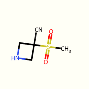 CS(=O)(=O)C1(C#N)CNC1